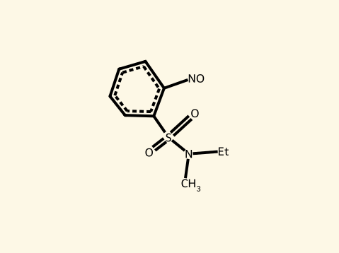 CCN(C)S(=O)(=O)c1ccccc1N=O